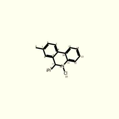 Cc1ccc2c(c1)C(C(C)C)N(Cl)c1ccccc1-2